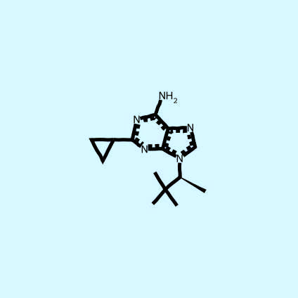 C[C@H](n1cnc2c(N)nc(C3CC3)nc21)C(C)(C)C